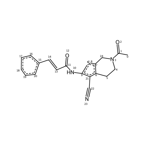 CC(=O)N1CCc2c(sc(NC(=O)/C=C/c3ccccc3)c2C#N)C1